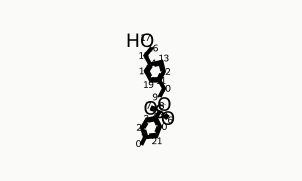 Cc1ccc(S(=O)(=O)OCCc2ccc(CCO)cc2)cc1